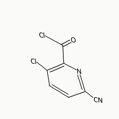 N#Cc1ccc(Cl)c(C(=O)Cl)n1